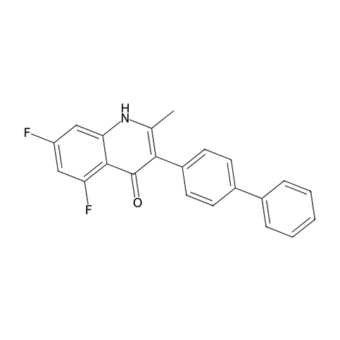 Cc1[nH]c2cc(F)cc(F)c2c(=O)c1-c1ccc(-c2ccccc2)cc1